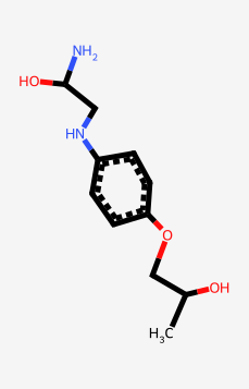 CC(O)COc1ccc(NCC(N)O)cc1